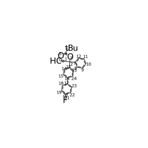 C#CC(OC(=O)C(C)(C)C)(c1ccccc1)c1ccc(-c2ccc(F)cc2)cc1